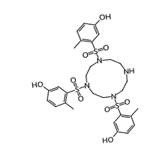 Cc1ccc(O)cc1S(=O)(=O)N1CCNCCN(S(=O)(=O)c2cc(O)ccc2C)CCN(S(=O)(=O)c2cc(O)ccc2C)CC1